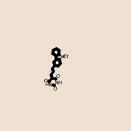 CCn1c2ccccc2c2cc(/C=C/C=C3C(=O)NC(=O)NC3=O)ccc21